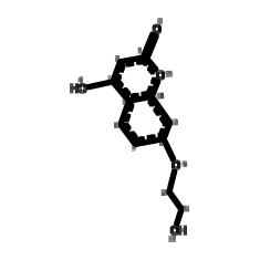 O=c1cc(O)c2ccc(OCCO)cc2o1